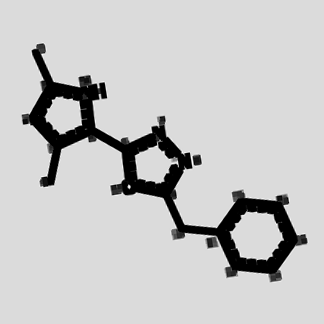 Cc1[c]c(C)c(-c2nnc(Cc3ccccc3)o2)[nH]1